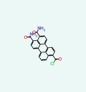 NC(=O)c1ccc2c3cccc4c(C(=O)Cl)ccc(c5ccc(C(N)=O)c1c25)c43